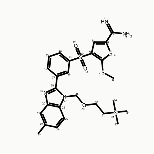 CSc1sc(C(=N)N)cc1S(=O)(=O)c1cccc(-c2nc3cc(C)ccc3n2COCC[Si](C)(C)C)c1